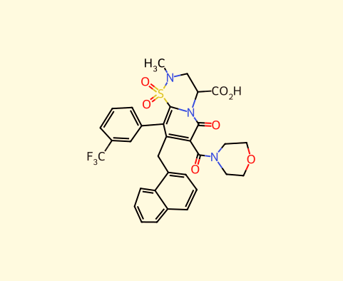 CN1CC(C(=O)O)n2c(c(-c3cccc(C(F)(F)F)c3)c(Cc3cccc4ccccc34)c(C(=O)N3CCOCC3)c2=O)S1(=O)=O